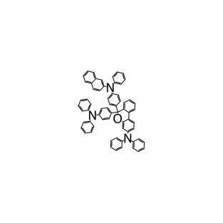 c1ccc(N(c2ccccc2)c2ccc(C3(c4ccc(N(c5ccccc5)c5ccc6ccccc6c5)cc4)Oc4cc(N(c5ccccc5)c5ccccc5)ccc4-c4ccccc43)cc2)cc1